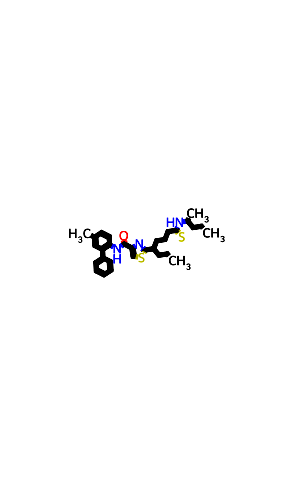 CCCC(C)NC(=S)CCCC(CCC)c1nc(C(=O)Nc2ccc(C)cc2-c2ccccc2)cs1